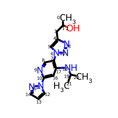 CC(O)Cc1cn(-c2cnc(-n3cccn3)cc2NC(C)C)nn1